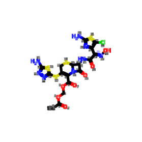 CC(C)(C)C(=O)OCOC(=O)C1=C(Sc2nnc(N)s2)CSC2[C@H](NC(=O)/C(=N/O)c3nc(N)sc3Cl)C(=O)N12